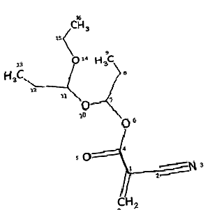 C=C(C#N)C(=O)OC(CC)OC(CC)OCC